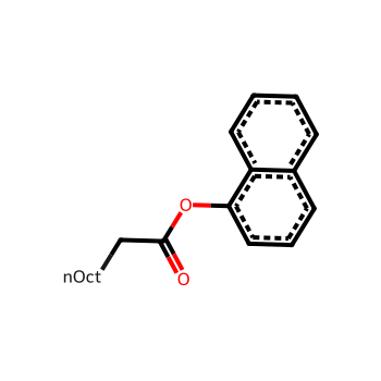 CCCCCCCCCC(=O)Oc1cccc2ccccc12